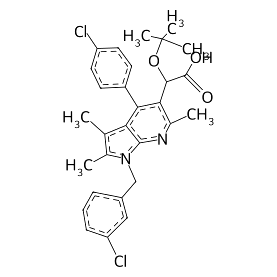 Cc1nc2c(c(C)c(C)n2Cc2cccc(Cl)c2)c(-c2ccc(Cl)cc2)c1C(OC(C)(C)C)C(=O)O